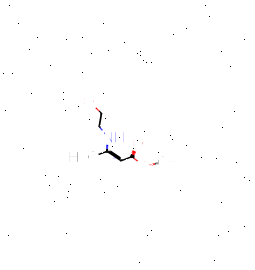 COC(=O)/C=C(/C)NCCO